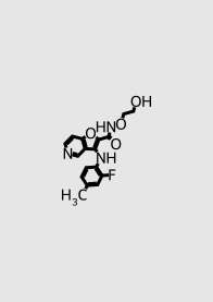 Cc1ccc(Nc2c(C(=O)NOCCO)oc3ccncc23)c(F)c1